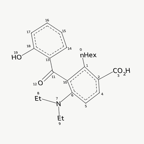 CCCCCCc1c(C(=O)O)ccc(N(CC)CC)c1C(=O)c1ccccc1O